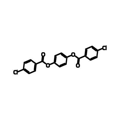 O=C(Oc1ccc(OC(=O)c2ccc(Cl)cc2)cc1)c1ccc(Cl)cc1